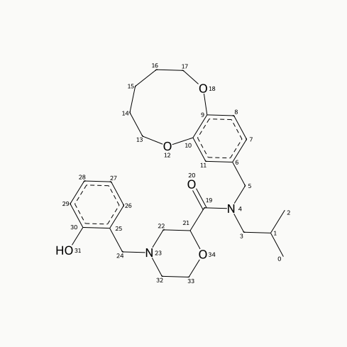 CC(C)CN(Cc1ccc2c(c1)OCCCCCO2)C(=O)C1CN(Cc2ccccc2O)CCO1